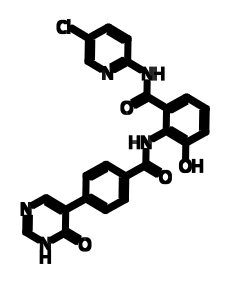 O=C(Nc1c(O)cccc1C(=O)Nc1ccc(Cl)cn1)c1ccc(-c2cnc[nH]c2=O)cc1